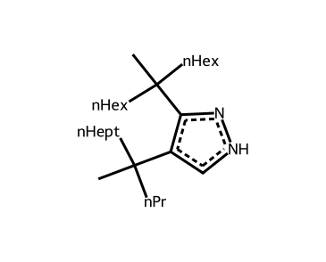 CCCCCCCC(C)(CCC)c1c[nH]nc1C(C)(CCCCCC)CCCCCC